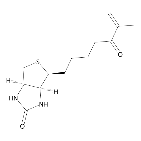 C=C(C)C(=O)CCCC[C@@H]1SC[C@@H]2NC(=O)N[C@@H]21